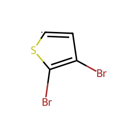 Brc1c[c]sc1Br